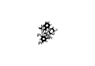 Cc1nc(OS(=O)(=O)c2c(C(C)C)cc(C(C)C)cc2C(C)C)c2c(N3C[C@@H](C)O[C@@H](C)C3)cccc2n1